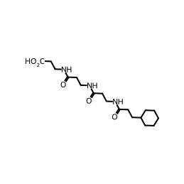 O=C(O)CCNC(=O)CCNC(=O)CCNC(=O)CCC1CCCCC1